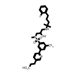 CN(CC(O)CNC(C)(C)CCCc1ccccc1F)S(=O)(=O)c1cc(-c2ccc(CCC(=O)O)cn2)cc(C(F)(F)F)c1